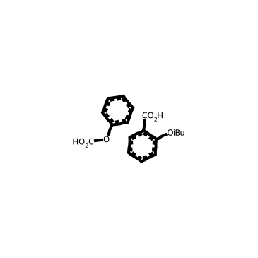 CC(C)COc1ccccc1C(=O)O.O=C(O)Oc1ccccc1